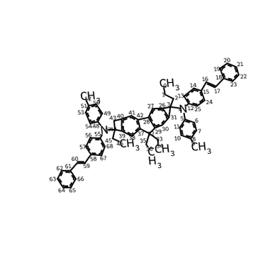 CCCC1(N(c2ccc(C)cc2)c2ccc(/C=C/c3ccccc3)cc2)c2cc3c(cc21)C(CC)(CC)c1cc2c(cc1-3)CC2(CC)N(c1ccc(C)cc1)c1ccc(/C=C/c2ccccc2)cc1